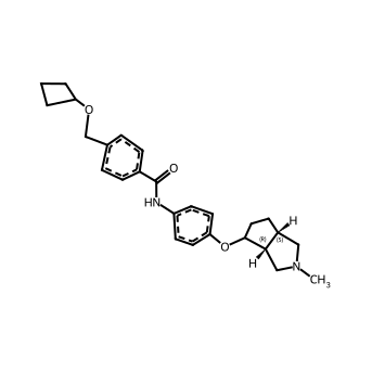 CN1C[C@H]2CCC(Oc3ccc(NC(=O)c4ccc(COC5CCC5)cc4)cc3)[C@H]2C1